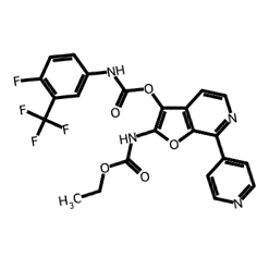 CCOC(=O)Nc1oc2c(-c3ccncc3)nccc2c1OC(=O)Nc1ccc(F)c(C(F)(F)F)c1